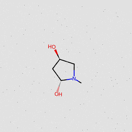 CN1C[C@H](O)C[C@H]1O